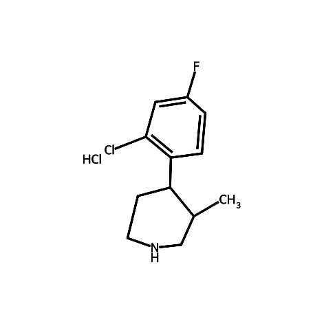 CC1CNCCC1c1ccc(F)cc1Cl.Cl